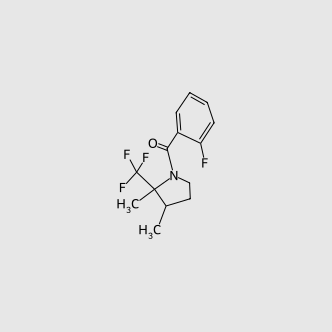 CC1CCN(C(=O)c2ccccc2F)C1(C)C(F)(F)F